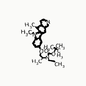 CCCN(C(=O)OC(C)(C)C)[C@@H](C)COc1ccc2c(c1)c1cc3cnccc3c(C)c1n2C